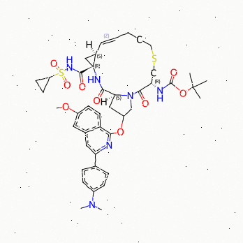 COc1ccc2c(OC3C[C@H]4C(=O)N[C@]5(C(=O)NS(=O)(=O)C6CC6)C[C@H]5/C=C\CCCSC[C@H](NC(=O)OC(C)(C)C)C(=O)N4C3)nc(-c3ccc(N(C)C)cc3)cc2c1